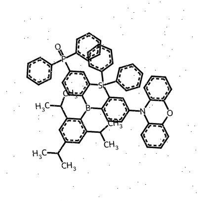 CC(C)c1cc(C(C)C)c(B2c3ccc(N4c5ccccc5Oc5ccccc54)cc3[Si](c3ccccc3)(c3ccccc3)c3cc(P(=O)(c4ccccc4)c4ccccc4)ccc32)c(C(C)C)c1